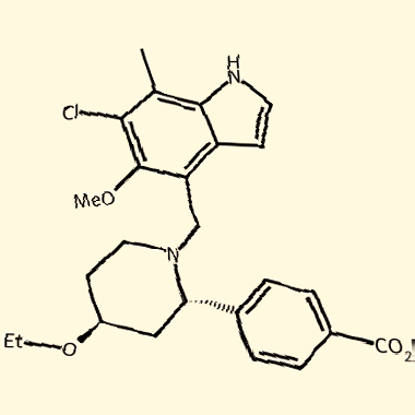 CCO[C@H]1CCN(Cc2c(OC)c(Cl)c(C)c3[nH]ccc23)[C@H](c2ccc(C(=O)O)cc2)C1